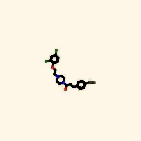 CC(C)COc1ccc(CCC(=O)N2CCN(CCOc3ccc(F)cc3F)CC2)cc1